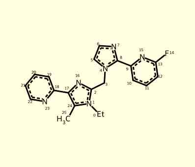 CCn1c(Cn2ccnc2-c2cccc(F)n2)nc(-c2ccccn2)c1C